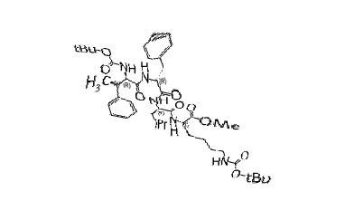 COC(=O)[C@@H](CCCCNC(=O)OC(C)(C)C)NC(=O)[C@@H](CC(C)C)NC(=O)[C@@H](Cc1ccccc1)NC(=O)[C@H](NC(=O)OC(C)(C)C)[C@H](C)c1ccccc1